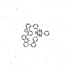 C1=CCC(c2nc(-c3ccccc3)nc(-c3cccc(-c4cccc5oc6c(-c7cccc8c9c(sc78)C(c7ccccc7)CC=C9)cccc6c45)c3)n2)C=C1